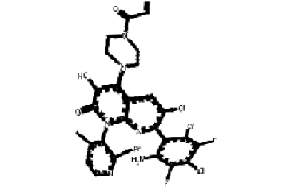 C=CC(=O)N1CCN(c2c(C#N)c(=O)n(-c3c(C)ccnc3C(C)C)c3nc(-c4c(N)c(F)c(Cl)c(F)c4Cl)c(Cl)cc23)CC1